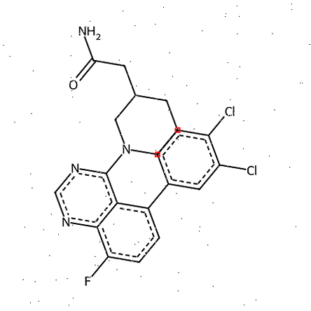 NC(=O)CC1CCCN(c2ncnc3c(F)ccc(-c4ccc(Cl)c(Cl)c4)c23)C1